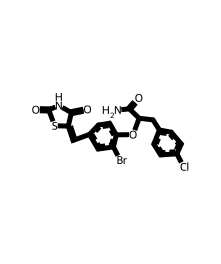 NC(=O)C(Cc1ccc(Cl)cc1)Oc1ccc(C=C2SC(=O)NC2=O)cc1Br